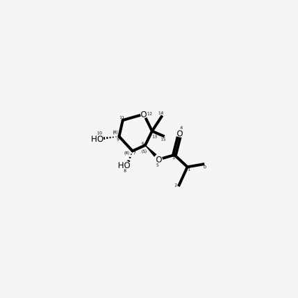 CC(C)C(=O)O[C@H]1[C@H](O)[C@H](O)COC1(C)C